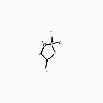 O=P1(Cl)OCC(F)O1